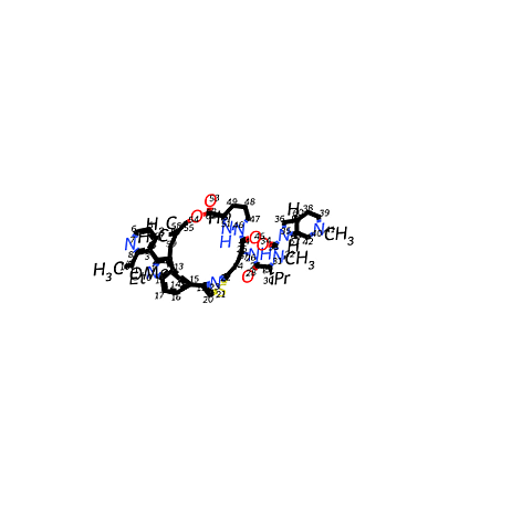 CCn1c(-c2cccnc2[C@H](C)OC)c2c3cc(ccc31)-c1csc(n1)C[C@H](NC(=O)[C@H](C(C)C)N(C)C(=O)N1C[C@@H]3CCN(C)C[C@@H]31)C(=O)N1CCC[C@H](N1)C(=O)OCC(C)(C)C2